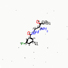 CCc1cc(F)cc(C(=O)NC[C@@H](N)C(=O)OCC(C)C)c1